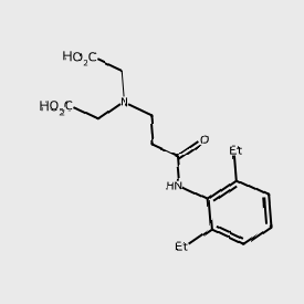 CCc1cccc(CC)c1NC(=O)CCN(CC(=O)O)CC(=O)O